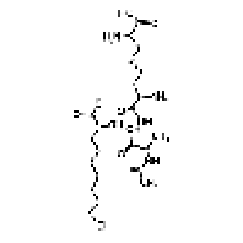 CC(=O)NC(C)C(=O)O.CCCCCCCCC(O)C(=O)O.NC(CSSCC(N)C(=O)O)C(=O)O